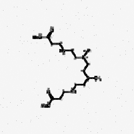 COC(=O)CCNCCN(C)CCN(CCNCCC(=O)OC)C(C)C